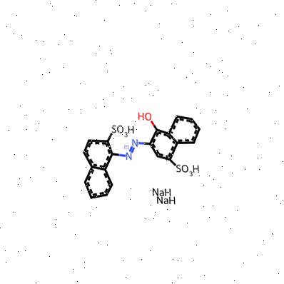 O=S(=O)(O)c1ccc2ccccc2c1/N=N/c1cc(S(=O)(=O)O)c2ccccc2c1O.[NaH].[NaH]